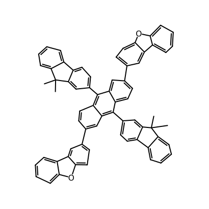 CC1(C)c2ccccc2-c2ccc(-c3c4ccc(-c5ccc6oc7ccccc7c6c5)cc4c(-c4ccc5c(c4)C(C)(C)c4ccccc4-5)c4ccc(-c5ccc6oc7ccccc7c6c5)cc34)cc21